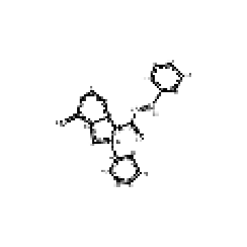 O=c1cccc2n(C(=S)N=Nc3ccccc3)n(-c3ccccc3)cc1-2